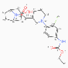 CCOC(=O)Nc1ccc(N2CCCC(CC(=O)N3C4CCC3CC(O)C4)C2)c(F)c1